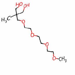 COCCOCCOCCOCC(C)(CO)CO